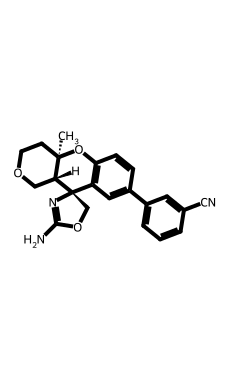 C[C@@]12CCOC[C@H]1[C@]1(COC(N)=N1)c1cc(-c3cccc(C#N)c3)ccc1O2